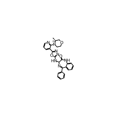 C[C@H]1COCCN1c1ncccc1-c1nnc(NC2N=C(c3ccccc3)c3ccccc3NC2=O)o1